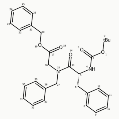 CC(C)(C)OC(=O)N[C@H](Cc1ccccc1)C(=O)N(CC(=O)OCc1ccccc1)Cc1ccccc1